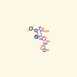 CC(C)(C)[C@H](c1cc(-c2cc(F)ccc2F)cn1Cc1ccccc1)N(CC[C@H](N)C(=O)N[C@@H](CNC(=O)CN1C(=O)C=CC1=O)C(=O)O)C(=O)CO